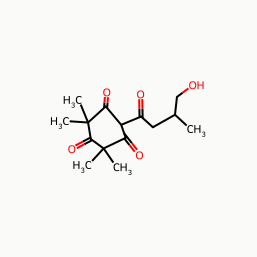 CC(CO)CC(=O)C1C(=O)C(C)(C)C(=O)C(C)(C)C1=O